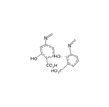 C=Nc1ccc(C(=O)O)c(O)c1.C=Nc1cccc(C(=O)O)c1O